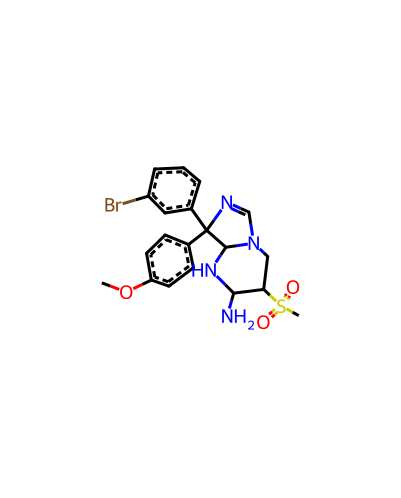 COc1ccc(C2(c3cccc(Br)c3)N=CN3CC(S(C)(=O)=O)C(N)NC32)cc1